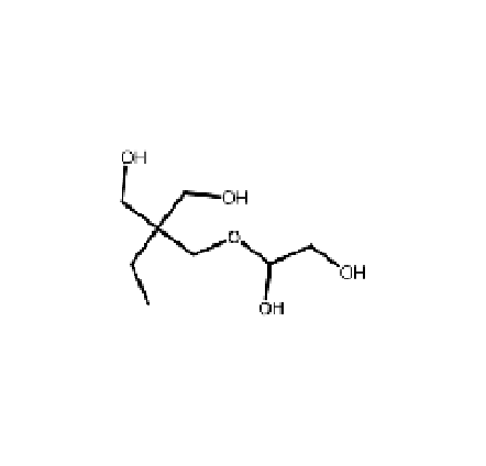 CCC(CO)(CO)COC(O)CO